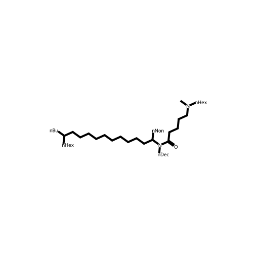 CCCCCCCCCCN(C(=O)CCCCN(C)CCCCCC)C(CCCCCCCCC)CCCCCCCCCCC(CCCC)CCCCCC